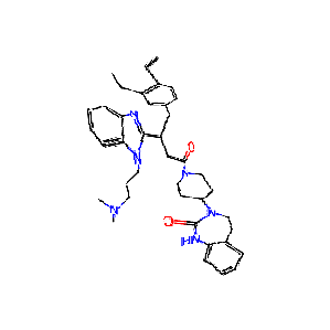 CCc1ccc(CC(CC(=O)N2CCC(N3CCc4ccccc4NC3=O)CC2)c2nc3ccccc3n2CCCN(C)C)cc1CC